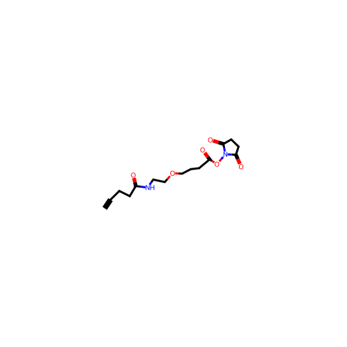 C#CCCC(=O)NCCOCCCC(=O)ON1C(=O)CCC1=O